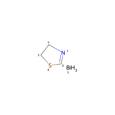 C1=NCCS1.[BiH3]